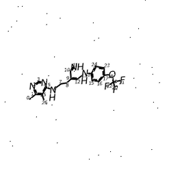 Cc1ncnc(NCC/C(C=N)=C/Nc2ccc(OC(F)(F)F)cc2)c1C